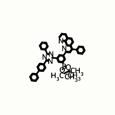 CC1(C)OB(c2cc(-c3cc(-c4ccccc4)c4ccc5cccnc5c4n3)cc(-c3nc(-c4ccccc4)nc(-c4ccc(-c5ccccc5)cc4)n3)c2)OC1(C)C